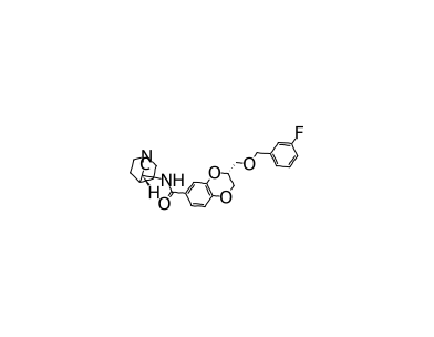 O=C(N[C@H]1CN2CCC1CC2)c1ccc2c(c1)O[C@H](COCc1cccc(F)c1)CO2